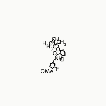 COc1ccc(CNC(=O)c2c(Cl)cccc2OCC(C)(C)N(C)C)cc1F